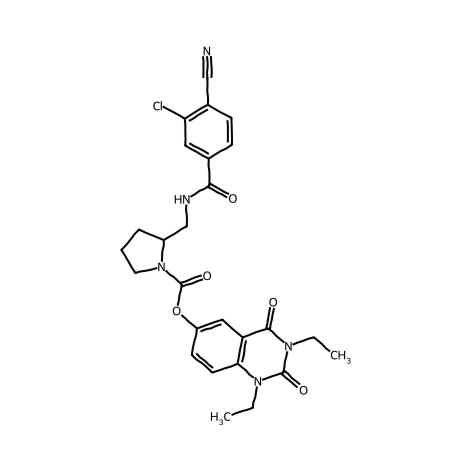 CCn1c(=O)c2cc(OC(=O)N3CCCC3CNC(=O)c3ccc(C#N)c(Cl)c3)ccc2n(CC)c1=O